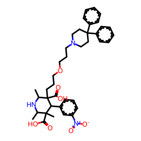 CC1NC(C)C(CCCOCCCN2CCC(c3ccccc3)(c3ccccc3)CC2)(C(=O)O)C(c2cccc([N+](=O)[O-])c2)C1(C)C(=O)O